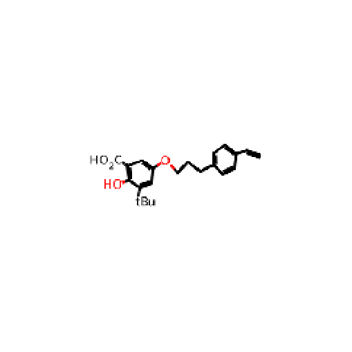 C=Cc1ccc(CCCOc2cc(C(=O)O)c(O)c(C(C)(C)C)c2)cc1